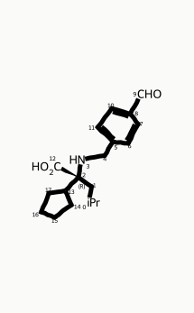 CC(C)C[C@](NCc1ccc(C=O)cc1)(C(=O)O)C1CCCC1